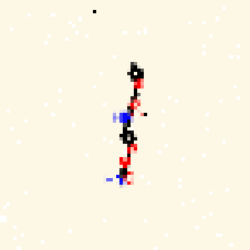 CNC(=O)CCOCCOc1ccc(CCNC(=O)COCCCOc2ccc(C)cc2)cc1